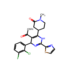 COC(=O)C1=C(C2CCN(C)C(=O)C2)NC(c2nccs2)=NC1c1cccc(F)c1Cl